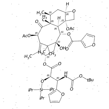 CC(=O)O[C@H]1C(=O)[C@@]2(C)[C@H]([C@H](OC(=O)c3ccoc3)[C@]3(O)C[C@H](OC(=O)[C@H](O[Si](C(C)C)(C(C)C)C(C)C)[C@@H](NC(=O)OC(C)(C)C)c4ccco4)C(C)=C1C3(C)C)[C@]1(OC(C)=O)CO[C@@H]1C[C@@H]2C